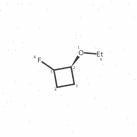 CCO[C@H]1C[CH]C1F